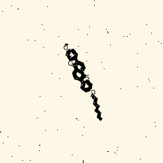 CCCCCCCCOc1ccc2c(c1)sc1c2ccc2c1ccc1c3ccc(OC)cc3oc12